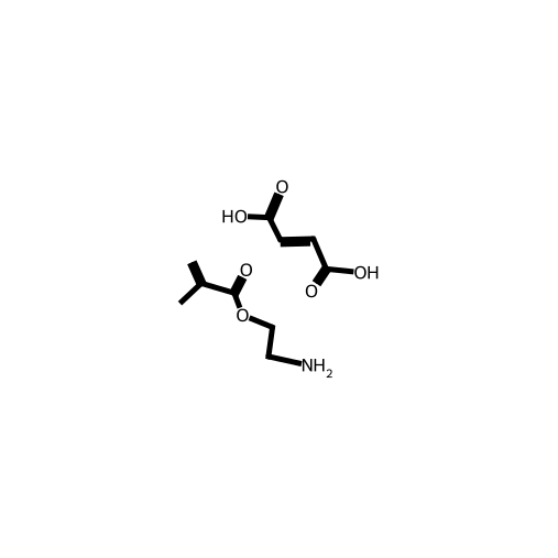 C=C(C)C(=O)OCCN.O=C(O)C=CC(=O)O